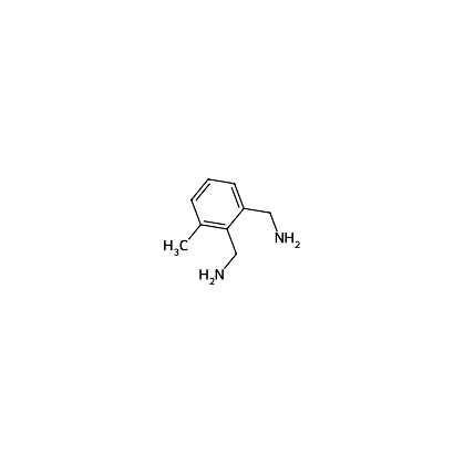 Cc1cccc(CN)c1CN